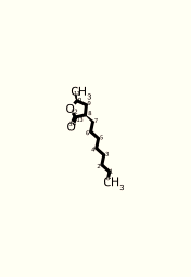 CCCCCCCC[C@@H]1C[C@H](C)OC1=O